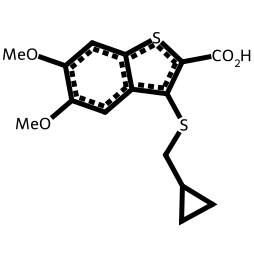 COc1cc2sc(C(=O)O)c(SCC3CC3)c2cc1OC